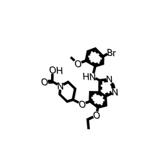 CCOc1cc2ncnc(Nc3cc(Br)ccc3OC)c2cc1OC1CCN(C(=O)O)CC1